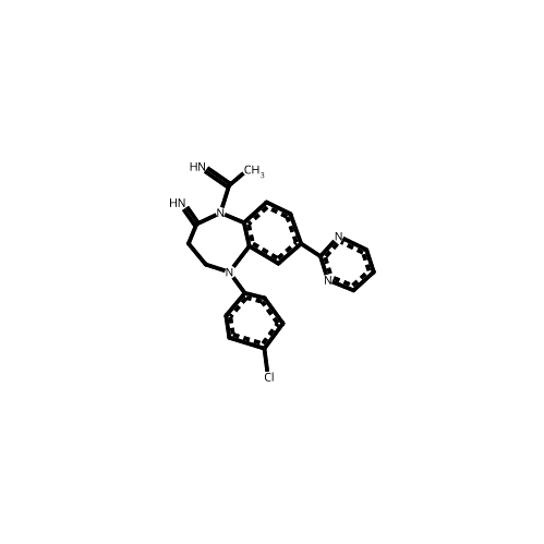 CC(=N)N1C(=N)CCN(c2ccc(Cl)cc2)c2cc(-c3ncccn3)ccc21